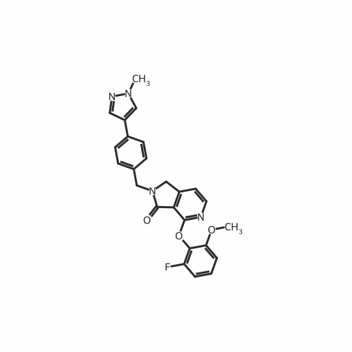 COc1cccc(F)c1Oc1nccc2c1C(=O)N(Cc1ccc(-c3cnn(C)c3)cc1)C2